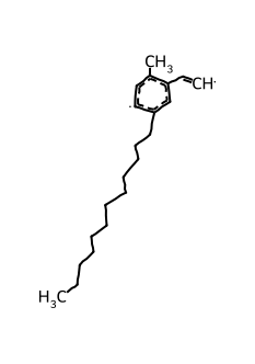 [CH]=Cc1cc(CCCCCCCCCCCC)[c]cc1C